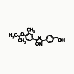 Cc1cc(-c2nc(-c3ccc(CO)cc3)no2)ccc1OC(C)C